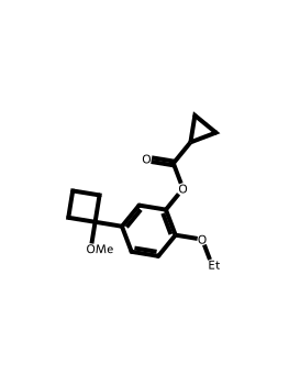 CCOc1ccc(C2(OC)CCC2)cc1OC(=O)C1CC1